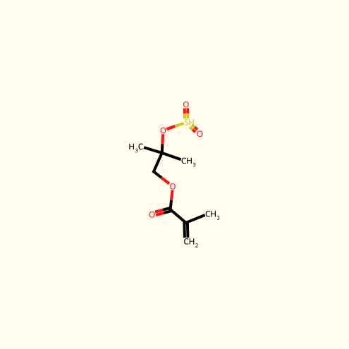 C=C(C)C(=O)OCC(C)(C)O[SH](=O)=O